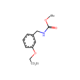 CCOC(=O)COc1cccc(CNC(=O)OC(C)(C)C)c1